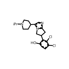 CC(C)N1CCC(c2cnc3n2CC(c2c(O)ccc(Cl)c2Cl)C3)CC1